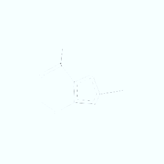 COc1cc(C)sc1C(C)=O